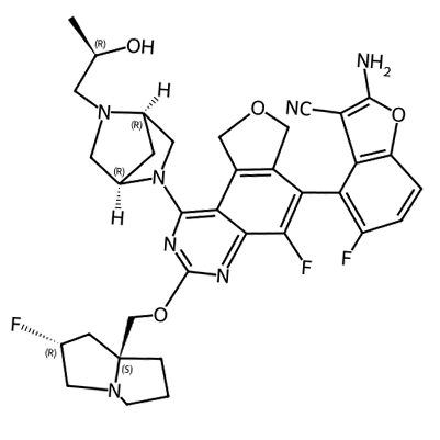 C[C@@H](O)CN1C[C@H]2C[C@@H]1CN2c1nc(OC[C@@]23CCCN2C[C@H](F)C3)nc2c(F)c(-c3c(F)ccc4oc(N)c(C#N)c34)c3c(c12)COC3